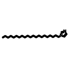 CCCCCCCCCCCCCCCCCCCCCn1ccnc1